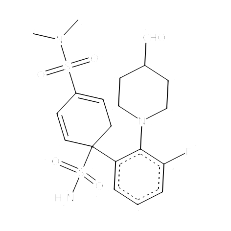 CN(C)S(=O)(=O)C1=CCC(c2cccc(F)c2N2CCC(C=O)CC2)(S(N)(=O)=O)C=C1